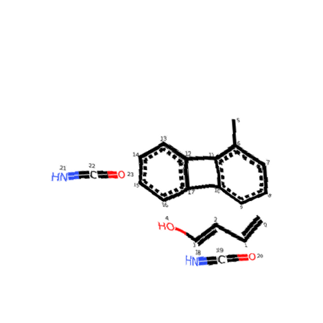 C=CC=CO.Cc1cccc2c1-c1ccccc1-2.N=C=O.N=C=O